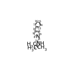 CC(C)(C)NCCN1CCC(Cc2cc#ccc2)CC1